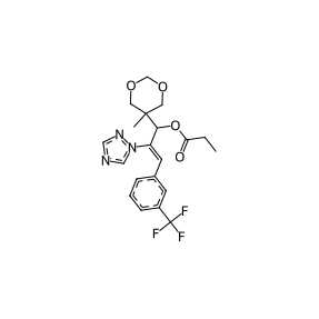 CCC(=O)OC(/C(=C/c1cccc(C(F)(F)F)c1)n1cncn1)C1(C)COCOC1